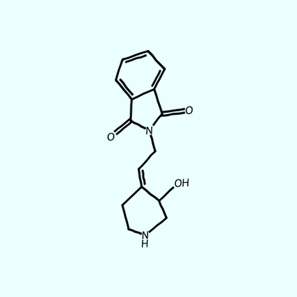 O=C1c2ccccc2C(=O)N1CC=C1CCNCC1O